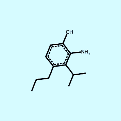 CCCc1ccc(O)c(N)c1C(C)C